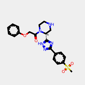 CS(=O)(=O)c1ccc(-c2n[nH]c([C@H]3CNCCN3C(=O)COc3ccccc3)n2)cc1